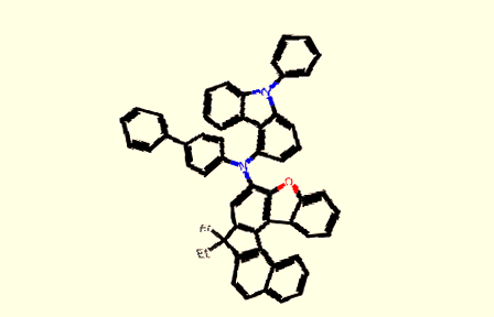 CCC1(CC)c2ccc3ccccc3c2-c2c1cc(N(c1ccc(-c3ccccc3)cc1)c1cccc3c1c1ccccc1n3-c1ccccc1)c1oc3ccccc3c21